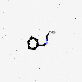 O=[C]C/N=C\c1ccccc1